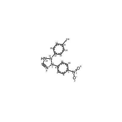 O=[N+]([O-])c1ccc(N2[N+]#CNN2c2ccc(I)cc2)cc1